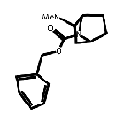 CNC1CC2CCC1N2C(=O)OCc1ccccc1